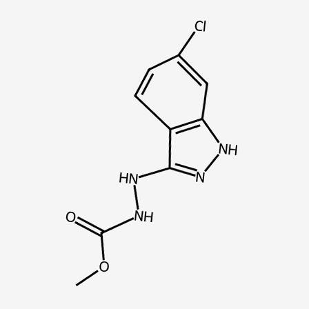 COC(=O)NNc1n[nH]c2cc(Cl)ccc12